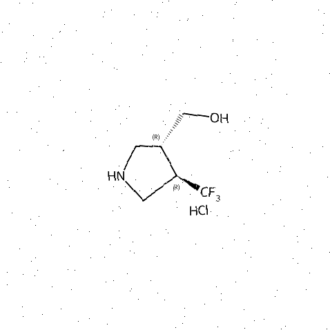 Cl.OC[C@H]1CNC[C@@H]1C(F)(F)F